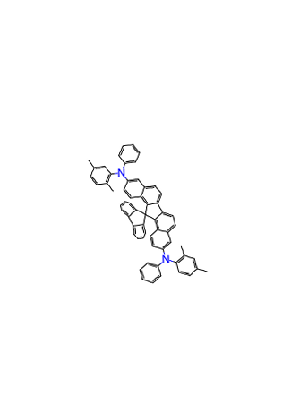 Cc1ccc(N(c2ccccc2)c2ccc3c4c(ccc3c2)-c2ccc3cc(N(c5ccccc5)c5cc(C)ccc5C)ccc3c2C42c3ccccc3-c3ccccc32)c(C)c1